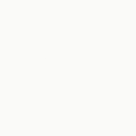 [C]#CCCCCCc1ccc2ccccc2c1